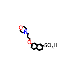 O=S(=O)(O)c1ccc2ccc(OCCCN3CCOCC3)cc2c1